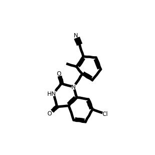 Cc1c(C#N)cccc1-n1c(=O)[nH]c(=O)c2ccc(Cl)cc21